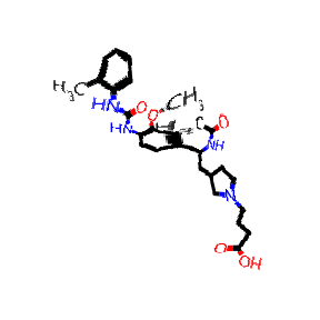 COc1cc(C(CC2CCN(CCCC(=O)O)C2)NC(C)=O)ccc1NC(=O)Nc1ccccc1C